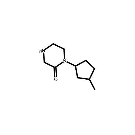 CC1CCC(N2CCNCC2=O)C1